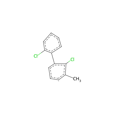 Cc1[c]ccc(-c2ccccc2Cl)c1Cl